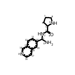 NC(NC(=O)C1CCCN1)c1ccc2cnccc2c1